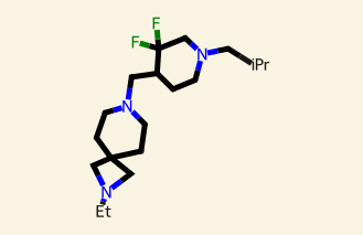 CCN1CC2(CCN(CC3CCN(CC(C)C)CC3(F)F)CC2)C1